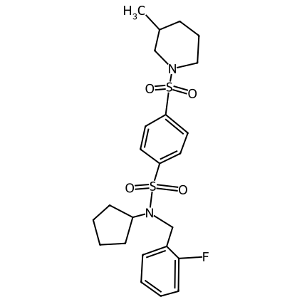 CC1CCCN(S(=O)(=O)c2ccc(S(=O)(=O)N(Cc3ccccc3F)C3CCCC3)cc2)C1